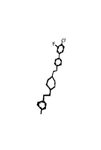 Cc1ccc(CCC2CCC(CCc3ccc(-c4ccc(Cl)c(F)c4)cc3)CC2)cc1